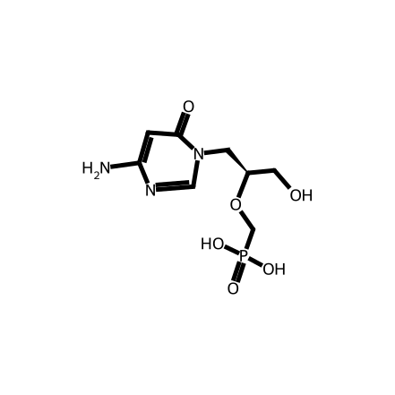 Nc1cc(=O)n(C[C@@H](CO)OCP(=O)(O)O)cn1